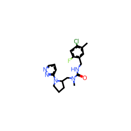 Cc1cc(CNC(=O)N(C)CC2CCCN2c2cccnn2)c(F)cc1Cl